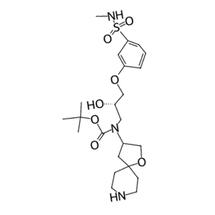 CNS(=O)(=O)c1cccc(OC[C@@H](O)CN(C(=O)OC(C)(C)C)C2COC3(CCNCC3)C2)c1